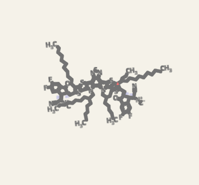 [C-]#[N+]/C(C#N)=C1\C(=C\c2sc3c(sc4c5c6nsnc6c6c7sc8c(CCCCCCCCCCC)c(/C=C9\C(=O)c%10cc(F)c(F)cc%10\C9=C(\C#N)[N+]#[C-])sc8c7n(CC(CCCCCC)CCCCCCCC)c6c5n(CC(CCCCCC)CCCCCCCC)c34)c2CCCCCCCCCCC)C(=O)c2cc(F)c(F)cc21